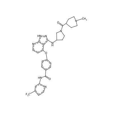 CN1CCC(C(=O)N2CCC(Nc3n[nH]c4nccc(Oc5ccc(C(=O)Nc6cc(C(F)(F)F)ccn6)cc5)c34)C2)CC1